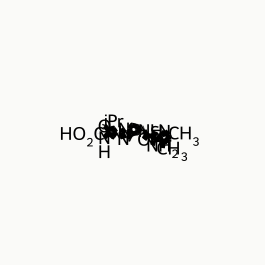 Cc1cc(C)c2c(N)c(C(=O)N[C@@H]3CCc4nc(N5CC(NC(=O)O)C(OC(C)C)C5)ncc4C3)sc2n1